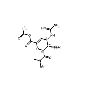 CCCN(C)C(=O)[C@@H]1OC(C(=O)OC(=O)C(F)(F)F)=C[C@H](NC(=N)N)[C@H]1NC(C)=O